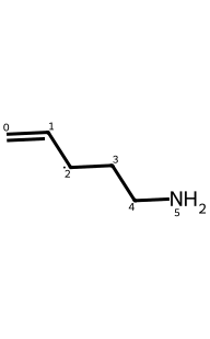 C=C[CH]CCN